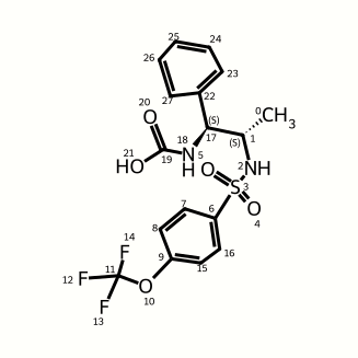 C[C@H](NS(=O)(=O)c1ccc(OC(F)(F)F)cc1)[C@@H](NC(=O)O)c1ccccc1